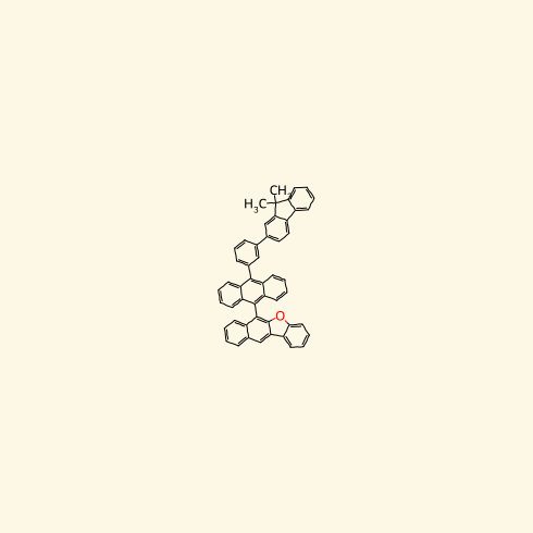 CC1(C)c2ccccc2-c2ccc(-c3cccc(-c4c5ccccc5c(-c5c6ccccc6cc6c5oc5ccccc56)c5ccccc45)c3)cc21